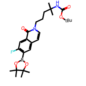 CC(C)(CCCn1ccc2cc(B3OC(C)(C)C(C)(C)O3)c(F)cc2c1=O)NC(=O)OC(C)(C)C